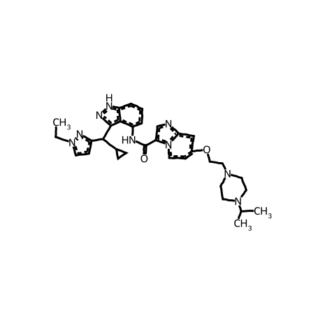 CCn1ccc(C(c2n[nH]c3cccc(NC(=O)c4cnc5cc(OCCN6CCN(C(C)C)CC6)ccn45)c23)C2CC2)n1